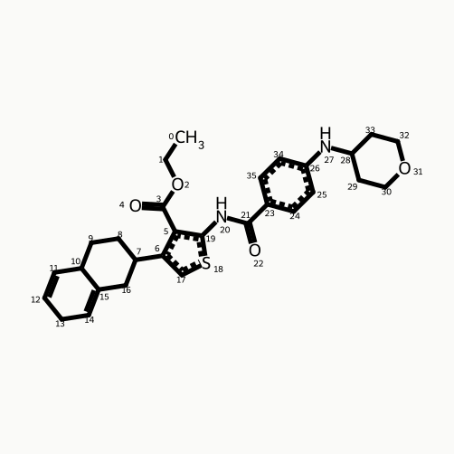 CCOC(=O)c1c(C2CCC3C=CCC=C3C2)csc1NC(=O)c1ccc(NC2CCOCC2)cc1